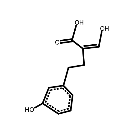 O=C(O)C(=CO)CCc1cccc(O)c1